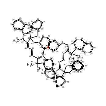 CN1/C(=C/C=C/C2=[N+](Cc3ccc(C[N+]4=C(/C=C/C=C5/N(C)c6c(ccc7ccccc67)C5(Cc5ccccc5)Cc5ccccc5)C(C)(C)c5c4ccc4ccccc54)cc3)c3ccc4ccccc4c3C2(C)C)C(Cc2ccccc2)(Cc2ccccc2)c2ccccc21